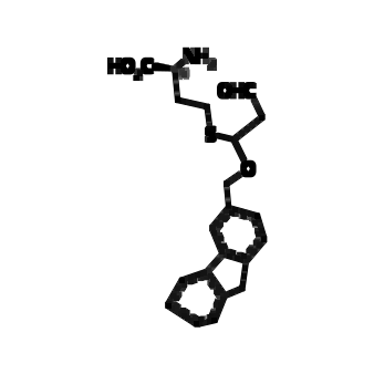 N[C@@H](CCSC(CC=O)OCc1ccc2c(c1)-c1ccccc1C2)C(=O)O